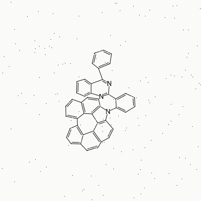 c1ccc(-c2nc(-c3ccccc3-n3c4ccc5cccc6c5c4c4c5c(ccc7cccc-6c75)ccc43)nc3ccccc23)cc1